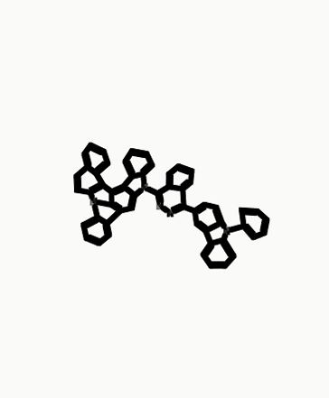 c1ccc(-n2c3ccccc3c3cc(-c4nnc(-n5c6ccccc6c6c7c8c9ccccc9ccc8n8c9ccccc9c(cc65)c78)c5ccccc45)ccc32)cc1